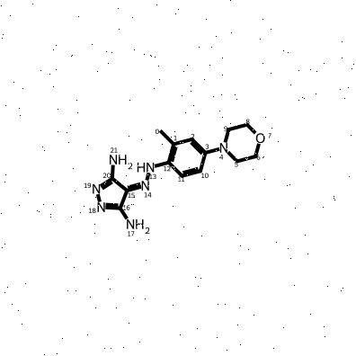 Cc1cc(N2CCOCC2)ccc1NN=C1C(N)=NN=C1N